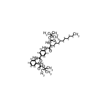 CCCCCCCCCC[C@H](NC(=O)OC(C)(C)C)C(=O)Nc1ccc(C(=O)Nc2ccccc2NC(=O)OC(C)(C)C)cc1